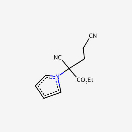 CCOC(=O)C(C#N)(CCC#N)n1cccc1